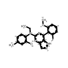 CCN(c1nc(-c2c(F)cccc2OC)c2[nH]ncc2n1)c1ccc(C)cc1Cl